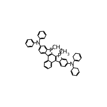 Cp1c2cc(N(c3ccccc3)c3ccccc3)ccc2c2c3ccccc3c3c4ccc(N(C5=CC=CCC5)C5C=CC=CC5)cc4p(C)c3c21